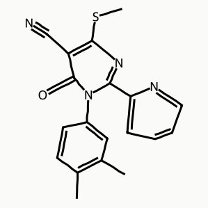 CSc1nc(-c2ccccn2)n(-c2ccc(C)c(C)c2)c(=O)c1C#N